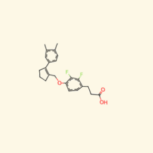 Cc1ccc(C2=C(COc3ccc(CCC(=O)O)c(F)c3F)CCC2)cc1C